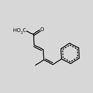 CC(C=CC(=O)C(=O)O)=Cc1ccccc1